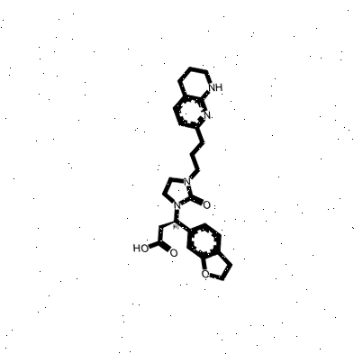 O=C(O)C[C@H](c1ccc2c(c1)OCC2)N1CCN(CCCc2ccc3c(n2)NCCC3)C1=O